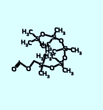 C[Si](C)(C)O[Si](C)(C)O[Si](C)(C)O[Si](C)(C)O[Si](C)(C)CO[C]=O